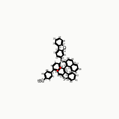 CC(C)(C)c1ccc(-c2ccc(N(c3ccc4c(c3)oc3ccccc34)c3ccc4ccccc4c3-c3cccc4sc5ccccc5c34)cc2)cc1